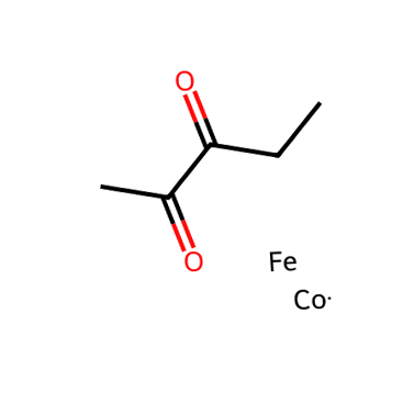 CCC(=O)C(C)=O.[Co].[Fe]